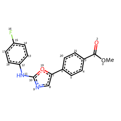 COC(=O)c1ccc(-c2cnc(Nc3ccc(F)cc3)o2)cc1